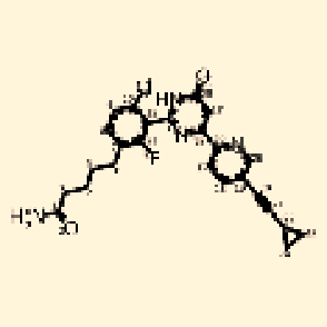 NC(=O)CCCCc1ccc(Cl)c(-c2nc(-c3ccc(C#CC4CC4)cn3)cc(=O)[nH]2)c1F